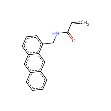 C=CC(=O)NCc1cccc2cc3ccccc3cc12